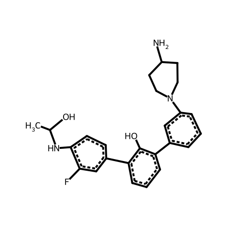 CC(O)Nc1ccc(-c2cccc(-c3cccc(N4CCC(N)CC4)c3)c2O)cc1F